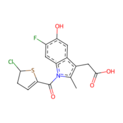 Cc1c(CC(=O)O)c2cc(O)c(F)cc2n1C(=O)C1=CCC(Cl)S1